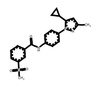 Cc1cc(C2CC2)n(-c2ccc(NC(=O)c3cccc(S(C)(=O)=O)c3)cc2)n1